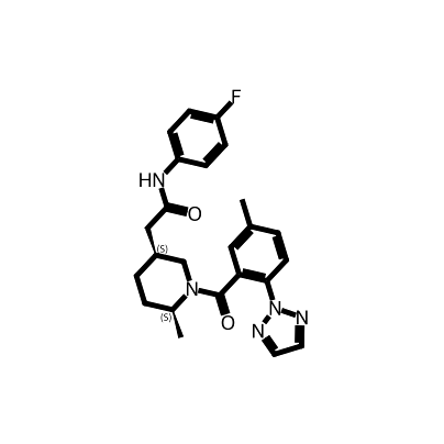 Cc1ccc(-n2nccn2)c(C(=O)N2C[C@H](CC(=O)Nc3ccc(F)cc3)CC[C@@H]2C)c1